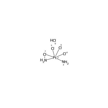 Cl.[NH2][Pt]([NH2])([Cl])([Cl])([Cl])[Cl]